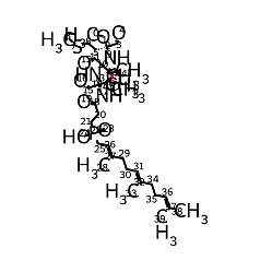 CO[C@](C=O)(CCSC)N[C@@](C=O)(N[C@](C=O)(NC(=O)CCP(=O)(O)C/C=C(\C)CC/C=C(\C)CCC=C(C)C)C(C)C)C(C)C